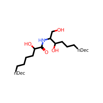 CCCCCCCCCCCCCCC(O)C(=O)NC(CO)C(O)CCCCCCCCCCCCC